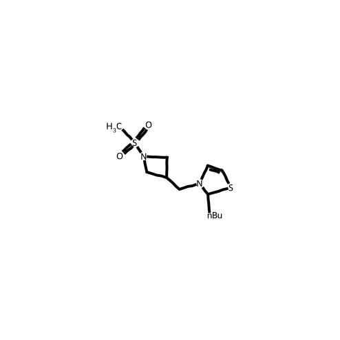 CCCCC1SC=CN1CC1CN(S(C)(=O)=O)C1